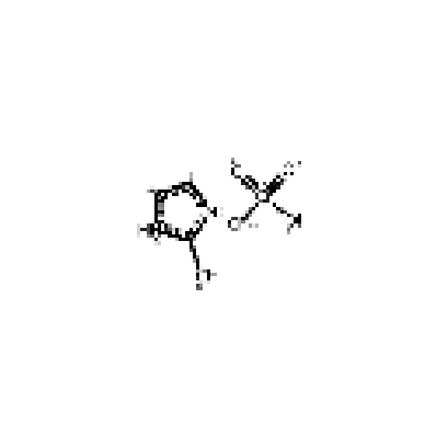 Cc1ncc[nH]1.[O]=[Cr](=[O])([OH])[Cl]